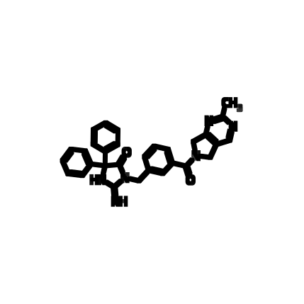 Cc1ncc2c(n1)CN(C(=O)c1cccc(CN3C(=N)NC(c4ccccc4)(c4ccccc4)C3=O)c1)C2